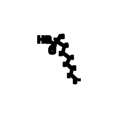 [CH2]CCCCCCC(C)C(=O)O